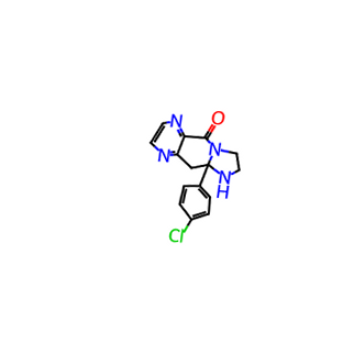 O=C1c2nccnc2CC2(c3ccc(Cl)cc3)NCCN12